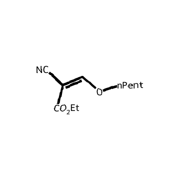 CCCCCOC=C(C#N)C(=O)OCC